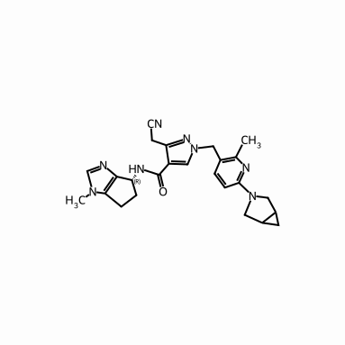 Cc1nc(N2CC3CC3C2)ccc1Cn1cc(C(=O)N[C@@H]2CCc3c2ncn3C)c(CC#N)n1